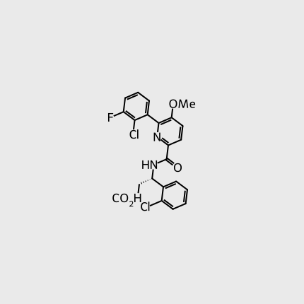 COc1ccc(C(=O)N[C@@H](CC(=O)O)c2ccccc2Cl)nc1-c1cccc(F)c1Cl